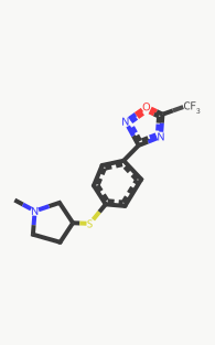 CN1CCC(Sc2ccc(-c3noc(C(F)(F)F)n3)cc2)C1